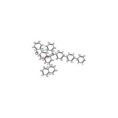 c1ccc(-c2ccc(-c3ccc(N(c4cccc(-c5cccc6ccccc56)c4)c4ccccc4-c4cccc5oc6ccccc6c45)cc3)cc2)cc1